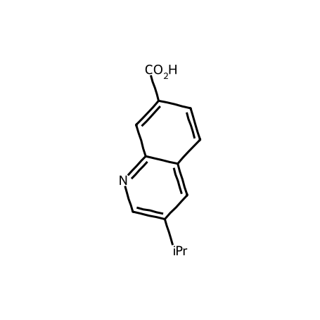 CC(C)c1cnc2cc(C(=O)O)ccc2c1